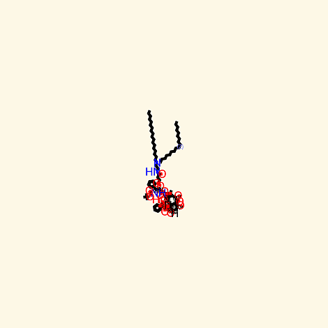 CCCCCCCC/C=C\CCCCCCCCN(CCCCCCCCCCCCCCCCCC)CCNC(=O)CCC(=O)O[C@@H](C(=O)O[C@H]1C[C@@]2(O)[C@@H](OC(=O)c3ccccc3)[C@@H]3[C@]4(OC(C)=O)CO[C@@H]4C[C@H](OC)[C@@]3(C)C(=O)[C@H](OC)C(=C1C)C2(C)C)[C@@H](NC(=O)OC(C)(C)C)c1ccccc1